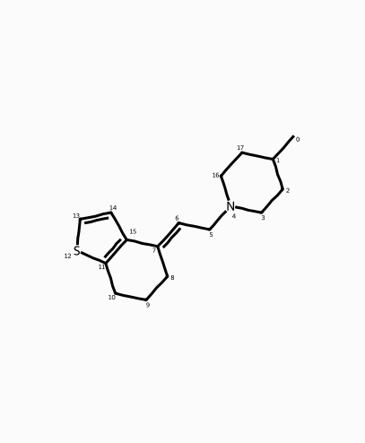 CC1CCN(CC=C2CCCc3sccc32)CC1